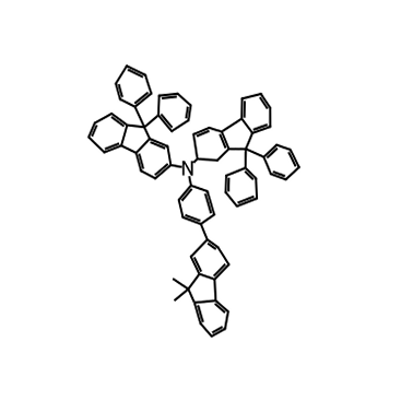 CC1(C)c2ccccc2-c2ccc(-c3ccc(N(c4ccc5c(c4)C(c4ccccc4)(c4ccccc4)c4ccccc4-5)C4C=CC5=C(C4)C(c4ccccc4)(c4ccccc4)c4ccccc45)cc3)cc21